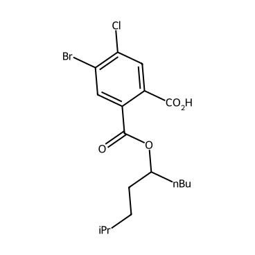 CCCCC(CCC(C)C)OC(=O)c1cc(Br)c(Cl)cc1C(=O)O